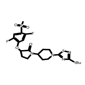 CC(C)(C)c1nsc(N2CCC(N3CCC(Oc4cc(F)c(S(C)(=O)=O)cc4F)C3=O)CC2)n1